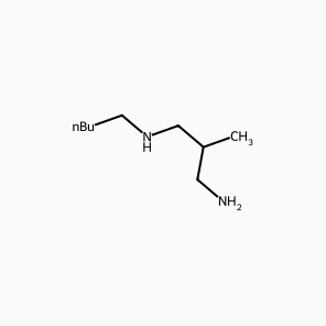 CCCCCNCC(C)CN